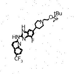 CC(C)(C)[Si](C)(C)OCCN1CCC(c2cc(F)c3nc(Nc4ccc5cc(C(F)(F)F)ccc5n4)[nH]c3c2)CC1